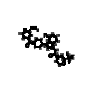 Nc1cc(C(=O)N2CCC(c3cn(CC(=O)N4CCO[C@H](C(F)(F)F)C4)c4cccc(F)c34)CC2)ccn1